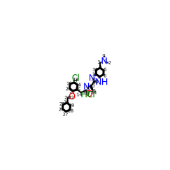 CN(C)Cc1ccc2[nH]c(-c3coc(Cc4cc(Cl)ccc4OCc4ccccc4)n3)nc2c1.Cl